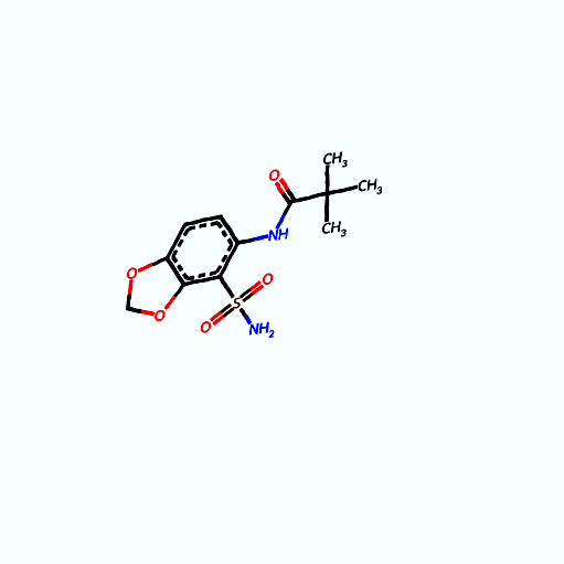 CC(C)(C)C(=O)Nc1ccc2c(c1S(N)(=O)=O)OCO2